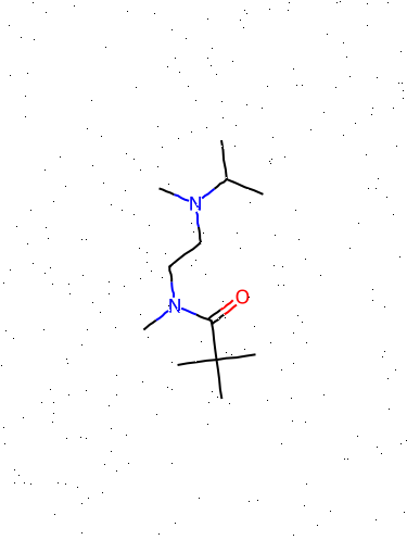 CC(C)N(C)CCN(C)C(=O)C(C)(C)C